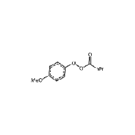 CCCC(=O)OOc1ccc(OC)cc1